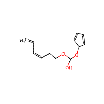 C=C/C=C\CCOC(O)OC1C=CC=C1